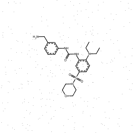 CCN(CC)c1ccc(S(=O)(=O)N2CCOCC2)cc1NC(=O)Nc1cccc(CN)c1